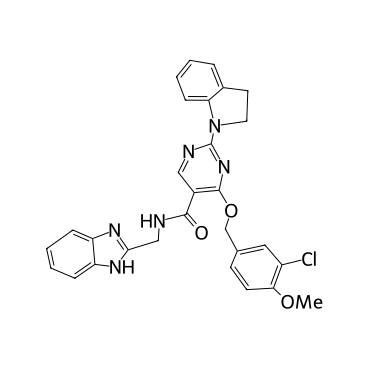 COc1ccc(COc2nc(N3CCc4ccccc43)ncc2C(=O)NCc2nc3ccccc3[nH]2)cc1Cl